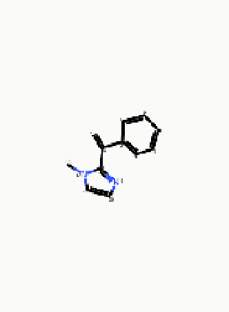 C=C(c1ccccc1)c1nccn1C